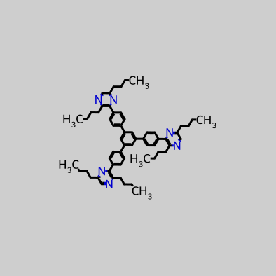 CCCCc1cnc(CCCC)c(-c2ccc(-c3cc(-c4ccc(-c5nc(CCCC)cnc5CCCC)cc4)cc(-c4ccc(-c5nc(CCCC)cnc5CCCC)cc4)c3)cc2)n1